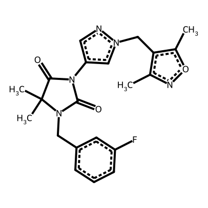 Cc1noc(C)c1Cn1cc(N2C(=O)N(Cc3cccc(F)c3)C(C)(C)C2=O)cn1